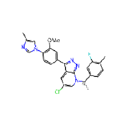 COc1cc(-c2nnc3n([C@@H](C)c4ccc(C)c(F)c4)cc(Cl)cc2-3)ccc1-n1cnc(C)c1